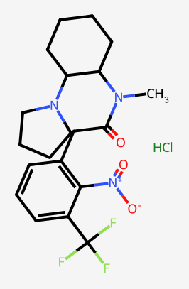 CN(C(=O)Cc1cccc(C(F)(F)F)c1[N+](=O)[O-])C1CCCCC1N1CCCC1.Cl